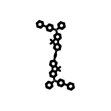 CC1(C)c2cc(C#Cc3ccc4c(c3)C(C)(C)c3cc(N(c5ccccc5)c5ccc(-c6ccccc6)cc5)ccc3-4)ccc2-c2ccc(N(c3ccccc3)c3ccc(-c4ccccc4)cc3)cc21